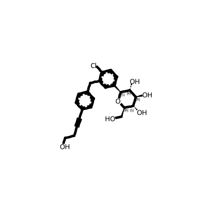 OCCC#Cc1ccc(Cc2cc([C@@H]3O[C@H](CO)[C@@H](O)[C@H](O)[C@H]3O)ccc2Cl)cc1